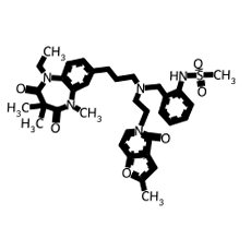 CCN1C(=O)C(C)(C)C(=O)N(C)c2cc(CCCN(CCn3ccc4oc(C)cc4c3=O)Cc3ccccc3NS(C)(=O)=O)ccc21